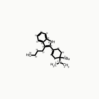 CCCCC1(N(C)C)CC=C(c2[nH]c3ccccc3c2CCCO)CC1